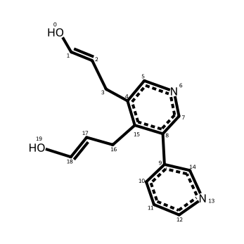 OC=CCc1cncc(-c2cccnc2)c1CC=CO